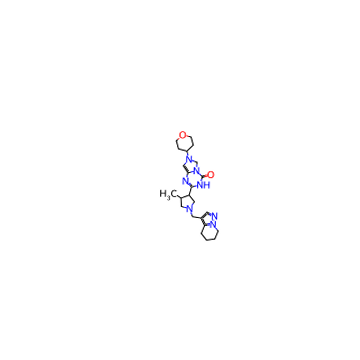 CC1CN(Cc2cnn3c2CCCC3)CC1C1=NC2=CN(C3CCOCC3)CN2C(=O)N1